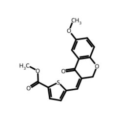 COC(=O)c1ccc(C=C2COc3ccc(OC)cc3C2=O)s1